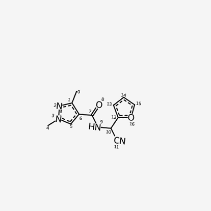 Cc1nn(C)cc1C(=O)NC(C#N)c1ccco1